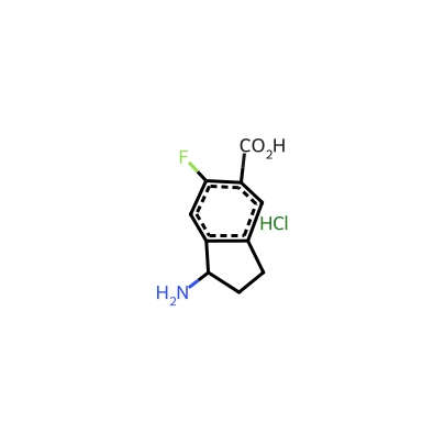 Cl.NC1CCc2cc(C(=O)O)c(F)cc21